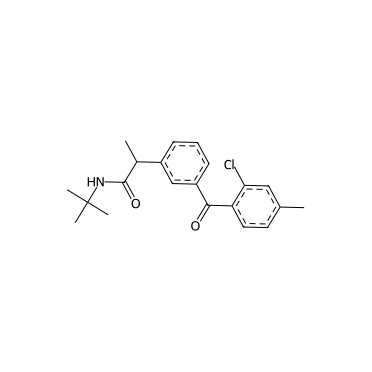 Cc1ccc(C(=O)c2cccc(C(C)C(=O)NC(C)(C)C)c2)c(Cl)c1